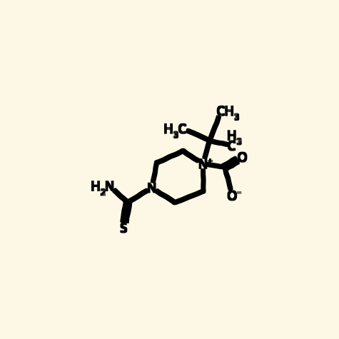 CC(C)(C)[N+]1(C(=O)[O-])CCN(C(N)=S)CC1